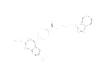 CCc1cc2c(N3CCN(C(=O)CCCOn4nnc5ccccc54)CC3)nc(N)nc2s1